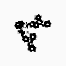 N#C/C(=C\c1ccc(N(CC2CCCCC2)CC2CCCCC2)cc1)C(=O)OC12CC3CC(C1)CC(OC(=O)/C(C#N)=C/c1ccc(N(CC4CCCCC4)CC4CCCCC4)cc1)(C3)C2